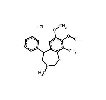 COc1cc2c(c(C)c1OC)CCN(C)CC2c1ccccc1.Cl